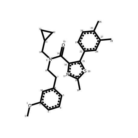 COc1cccc(CCN(CC2CC2)C(=O)c2nc(C)sc2-c2ccc(C)c(C)c2)c1